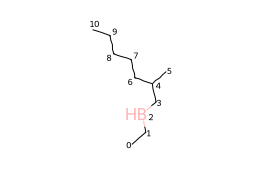 CCBCC(C)CCCCC